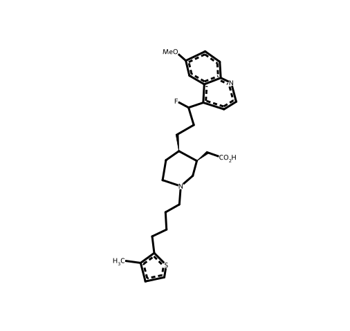 COc1ccc2nccc(C(F)CC[C@@H]3CCN(CCCCc4sccc4C)C[C@@H]3CC(=O)O)c2c1